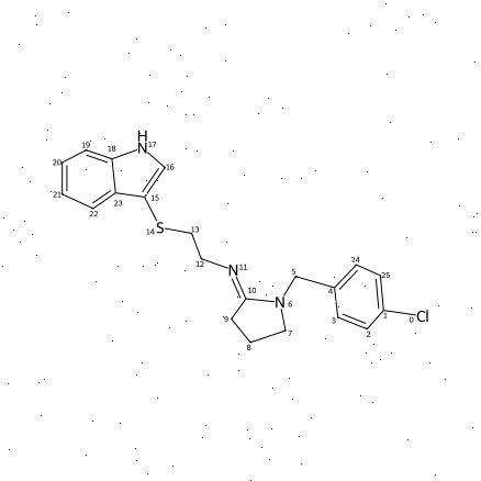 Clc1ccc(CN2CCCC2=NCCSc2c[nH]c3ccccc23)cc1